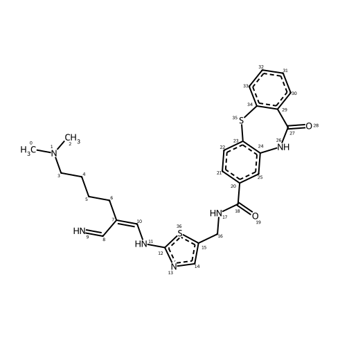 CN(C)CCCC/C(C=N)=C/Nc1ncc(CNC(=O)c2ccc3c(c2)NC(=O)c2ccccc2S3)s1